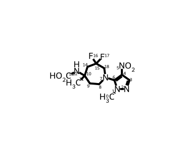 Cn1ncc([N+](=O)[O-])c1N1CCC(C)(NC(=O)O)CC(F)(F)C1